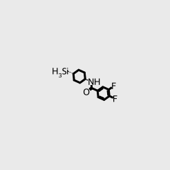 O=C(N[C@H]1CC[C@@H]([SiH3])CC1)c1ccc(F)c(F)c1